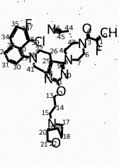 C=C(F)C(=O)N1CCN(c2nc(OCCCN3CC4CC3CO4)nc3c2CCN(c2cccc4ccc(F)c(Cl)c24)C3)C[C@@H]1CC#N